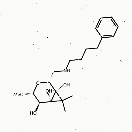 CO[C@@H]1O[C@H](CNCCCCc2ccccc2)[C@@]2(O)C(C)(C)[C@@]2(O)[C@H]1O